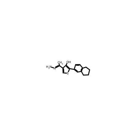 CC(=NN)c1csc(-c2ccc3c(c2)CCCC3)c1O